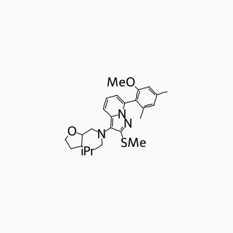 COc1cc(C)cc(C)c1-c1cccc2c(N(CC(C)C)CC3CCCO3)c(SC)nn12